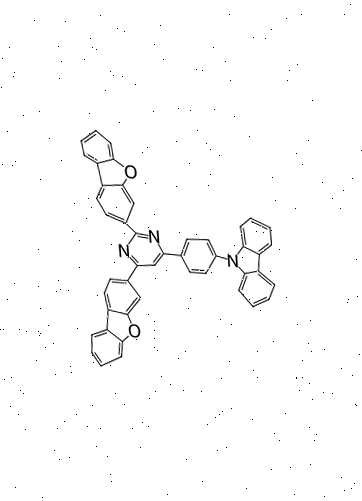 c1ccc2c(c1)oc1cc(-c3cc(-c4ccc(-n5c6ccccc6c6ccccc65)cc4)nc(-c4ccc5c(c4)oc4ccccc45)n3)ccc12